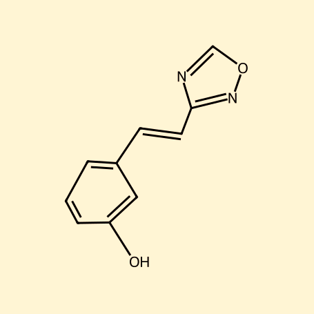 Oc1cccc(/C=C/c2ncon2)c1